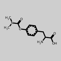 CN(C)C(=O)Oc1ccc(CC(N)C(=O)O)cc1